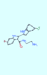 NCCNC(=O)c1c(-c2cc3cc(Cl)ccc3[nH]2)[nH]c2cc(Br)ccc12